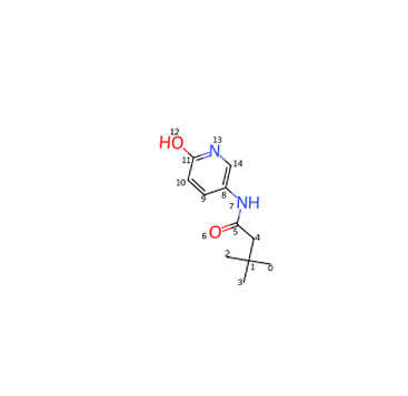 CC(C)(C)CC(=O)Nc1ccc(O)nc1